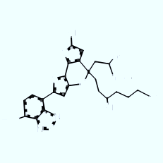 CCCCCCCCC(CCCCCC)CC1(CCC(C)CCCC(C)C)Oc2cc(-c3ccc(C)c4nsnc34)sc2-c2sc(C)cc21